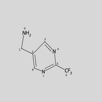 NCc1cnc(C(F)(F)F)nc1